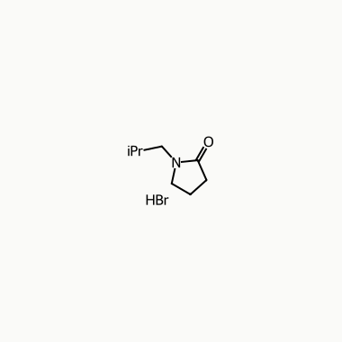 Br.CC(C)CN1CCCC1=O